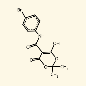 CC1(C)OC(=O)C(C(=O)Nc2ccc(Br)cc2)=C(O)O1